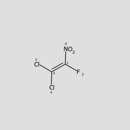 O=[N+]([O-])C(F)=C(Cl)Cl